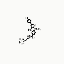 COc1ccc(C(=O)NCCCN(C)C)cc1Nc1cncc(-c2ccc(O)cc2)n1